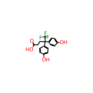 O=C(O)CCC(c1ccc(O)cc1)(c1ccc(O)cc1)C(F)(F)F